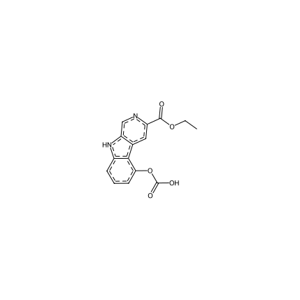 CCOC(=O)c1cc2c(cn1)[nH]c1cccc(OC(=O)O)c12